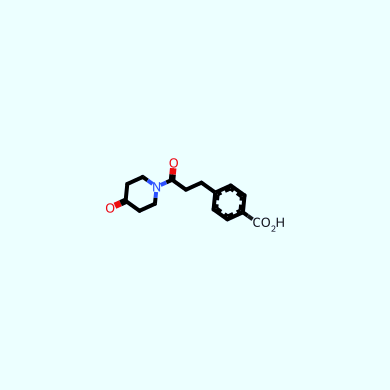 O=C1CCN(C(=O)CCc2ccc(C(=O)O)cc2)CC1